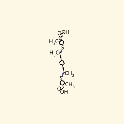 C/C(C#Cc1ccc(C#C/C(C)=C/CSc2ccc(OCC(=O)O)c(C)c2)cc1)=C\CSc1ccc(CC(=O)O)c(C)c1